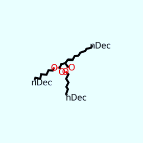 CCCCCCCCCCCCCCCC/C=C/C(CC(=O)OCCCCCCCCCCCCCCCC)C(=O)OCCCCCCCCCCCCCCCC